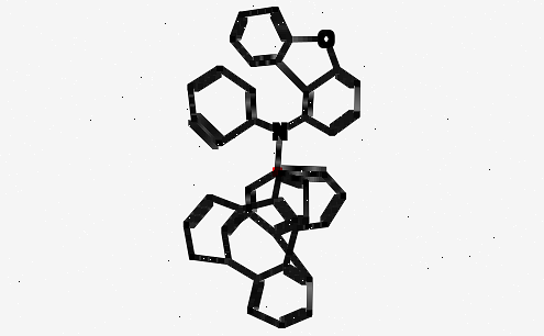 c1cccc(N(c2ccc3c(c2)C2=C4C=CCC2c2cccc-3c2-c2ccc#cc24)c2cccc3oc4ccccc4c23)c#1